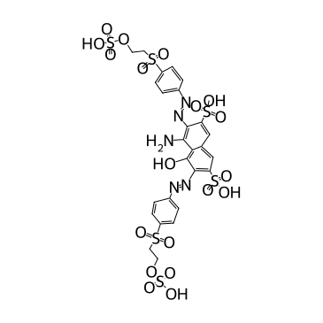 Nc1c(N=Nc2ccc(S(=O)(=O)CCOS(=O)(=O)O)cc2)c(S(=O)(=O)O)cc2cc(S(=O)(=O)O)c(N=Nc3ccc(S(=O)(=O)CCOS(=O)(=O)O)cc3)c(O)c12